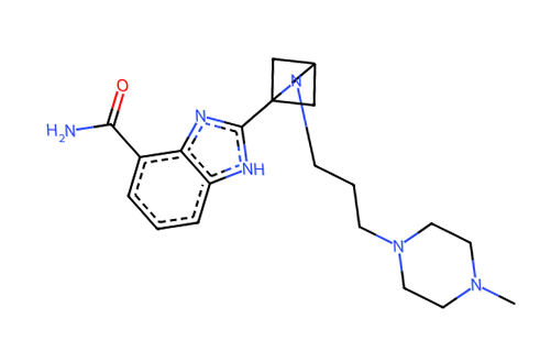 CN1CCN(CCCN2CC3CC2(c2nc4c(C(N)=O)cccc4[nH]2)C3)CC1